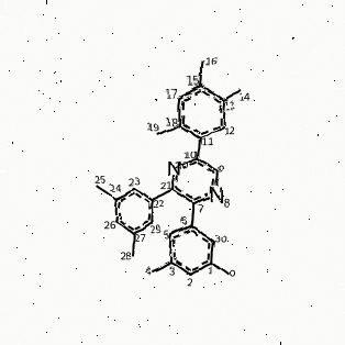 Cc1cc(C)cc(-c2ncc(-c3cc(C)c(C)cc3C)nc2-c2cc(C)cc(C)c2)c1